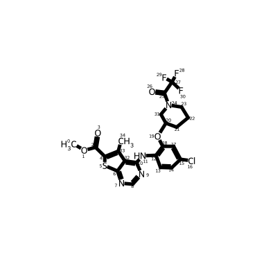 COC(=O)c1sc2ncnc(Nc3ccc(Cl)cc3OC3CCCN(C(=O)C(F)(F)F)C3)c2c1C